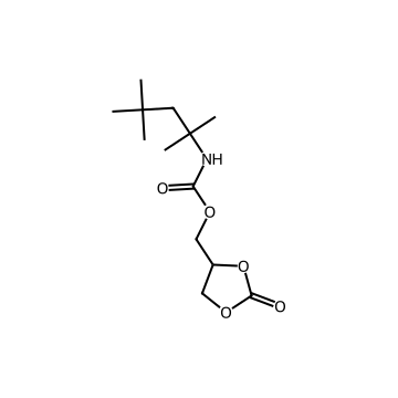 CC(C)(C)CC(C)(C)NC(=O)OCC1COC(=O)O1